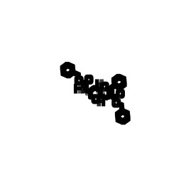 O=C(N[C@H]1CO[C@@H]2CN(C(=O)OCc3ccccc3)C(c3ccccc3)O[C@H]2C1)OCc1ccccc1